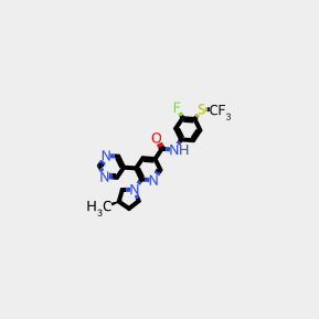 C[C@@H]1CCN(c2ncc(C(=O)Nc3ccc(SC(F)(F)F)c(F)c3)cc2-c2cncnc2)C1